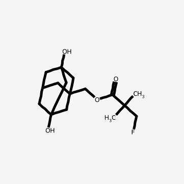 CC(C)(CF)C(=O)OCC12CC3CC(O)(CC(O)(C3)C1)C2